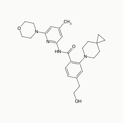 Cc1cc(NC(=O)c2ccc(CCO)cc2N2CCC3(CC2)CC3)nc(N2CCOCC2)c1